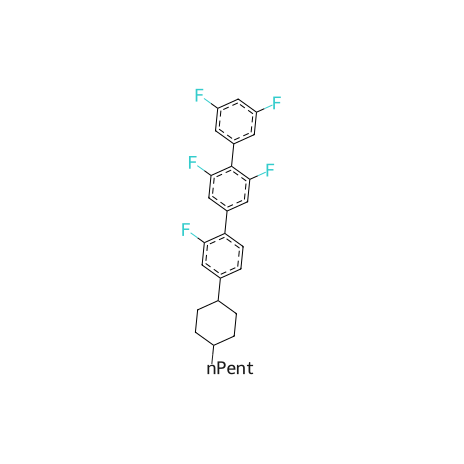 CCCCCC1CCC(c2ccc(-c3cc(F)c(-c4cc(F)cc(F)c4)c(F)c3)c(F)c2)CC1